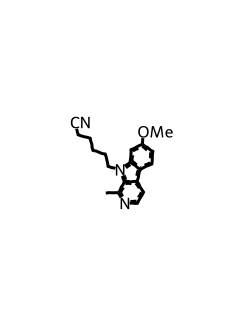 COc1ccc2c3ccnc(C)c3n(CCCCCC#N)c2c1